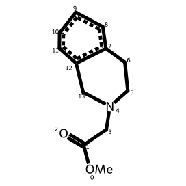 COC(=O)CN1CCc2ccccc2C1